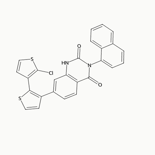 O=c1[nH]c2cc(-c3ccsc3-c3ccsc3Cl)ccc2c(=O)n1-c1cccc2ccccc12